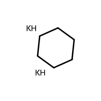 C1CCCCC1.[KH].[KH]